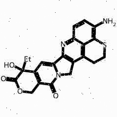 CCC1(O)C(=O)OCc2c1cc1n(c2=O)Cc2c-1nc1ccc(N)c3c1c2CCS3